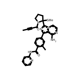 CC#CC(=O)N1CCCC1(SC)c1nc(-c2ccc(C(=O)Nc3ccccn3)c(C)c2)c2c(N)nccn12